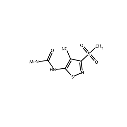 CNC(=O)Nc1snc(S(C)(=O)=O)c1C#N